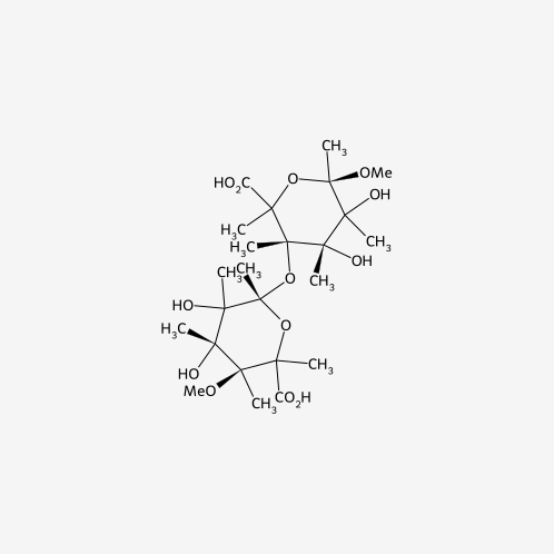 CO[C@]1(C)OC(C)(C(=O)O)[C@@](C)(O[C@]2(C)OC(C)(C(=O)O)[C@@](C)(OC)[C@](C)(O)C2(C)O)[C@@](C)(O)C1(C)O